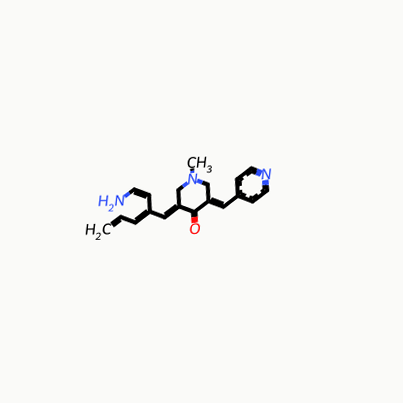 C=C/C=C(\C=C/N)/C=C1\CN(C)C/C(=C\c2ccncc2)C1=O